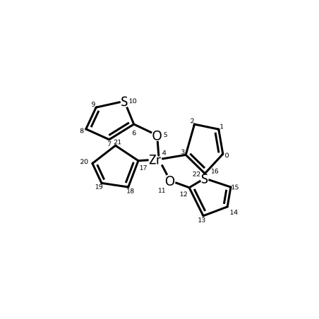 C1=CC[C]([Zr]([O]c2cccs2)([O]c2cccs2)[C]2=CC=CC2)=C1